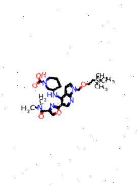 CN(C)C(=O)c1coc(-c2cnc3c(ccn3COCC[Si](C)(C)C)c2N[C@@H]2CCCN(C(=O)O)C2)n1